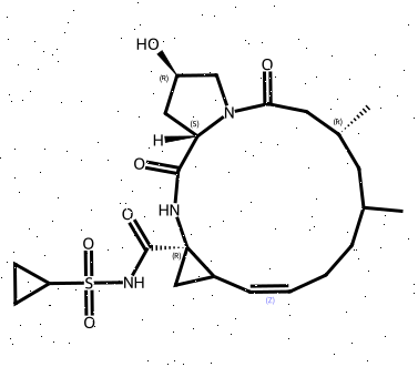 CC1CC/C=C\C2C[C@@]2(C(=O)NS(=O)(=O)C2CC2)NC(=O)[C@@H]2C[C@@H](O)CN2C(=O)C[C@H](C)C1